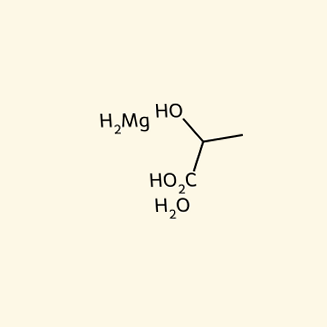 CC(O)C(=O)O.O.[MgH2]